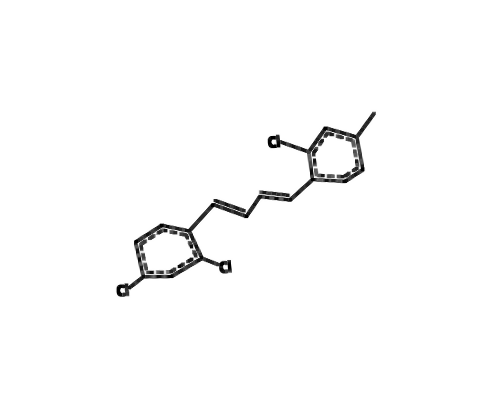 Cc1ccc(C=CC=Cc2ccc(Cl)cc2Cl)c(Cl)c1